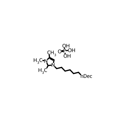 CCCCCCCCCCCCCCCCN1C=C(C)N(C)C1C.O=P(O)(O)O